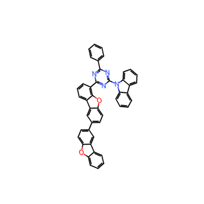 c1ccc(-c2nc(-c3cccc4c3oc3ccc(-c5ccc6oc7ccccc7c6c5)cc34)nc(-n3c4ccccc4c4ccccc43)n2)cc1